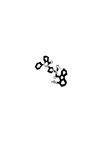 CCCCc1cccc2c1C(C(=O)N(CC(F)(F)F)N1CCC(NC(=O)c3ccccc3Oc3ccccc3)C1)c1ccccc1-2